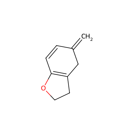 C=C1C=CC2=C(CCO2)C1